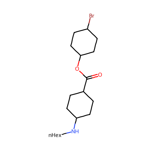 CCCCCCNC1CCC(C(=O)OC2CCC(Br)CC2)CC1